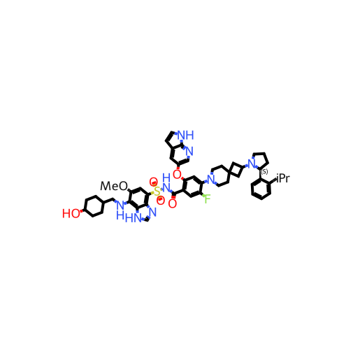 COc1cc(S(=O)(=O)NC(=O)c2cc(F)c(N3CCC4(CC3)CC(N3CCC[C@H]3c3ccccc3C(C)C)C4)cc2Oc2cnc3[nH]ccc3c2)c2nc[nH]c2c1NCC1CCC(O)CC1